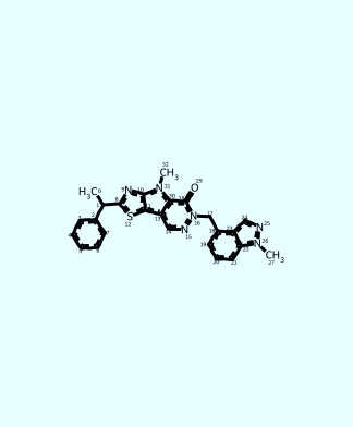 CC(c1ccccc1)c1nc2c(s1)c1cnn(Cc3cccc4c3cnn4C)c(=O)c1n2C